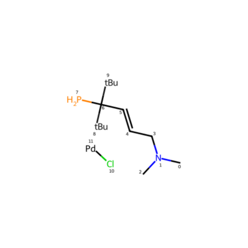 CN(C)C/C=C/C(P)(C(C)(C)C)C(C)(C)C.[Cl][Pd]